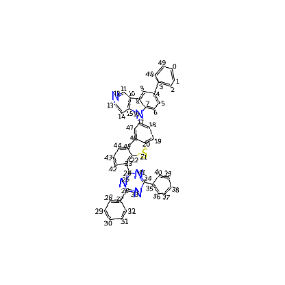 c1ccc(-c2ccc3c(c2)c2cnccc2n3-c2ccc3sc4c(-c5nc(-c6ccccc6)nc(-c6ccccc6)n5)cccc4c3c2)cc1